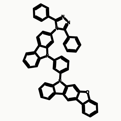 c1ccc(-c2nnc(-c3ccccc3)n2-c2ccc3c4ccccc4n(-c4cccc(-n5c6ccccc6c6cc7c(cc65)oc5ccccc57)c4)c3c2)cc1